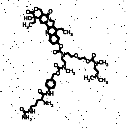 CCc1c2c(nc3ccc(OC(=O)N(CCOCCOC(=O)N(C)CCN(C)C)CCN(C)C(=O)OCc4ccc(NC(=O)[C@@H](N)CCCNC(N)=O)cc4)cc13)-c1cc3c(c(=O)n1C2)COC(=O)[C@@]3(O)CC